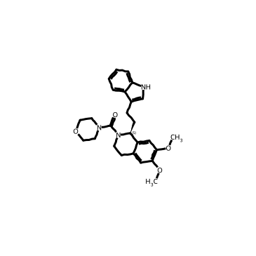 COc1cc2c(cc1OC)[C@H](CCc1c[nH]c3ccccc13)N(C(=O)N1CCOCC1)CC2